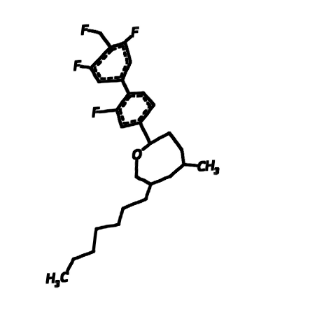 CCCCCCCC1COC(c2ccc(-c3cc(F)c(CF)c(F)c3)c(F)c2)CCC(C)C1